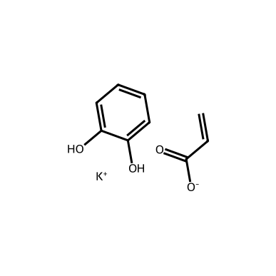 C=CC(=O)[O-].Oc1ccccc1O.[K+]